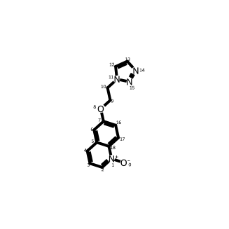 [O-][n+]1cccc2cc(OCCn3ccnn3)ccc21